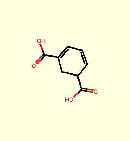 O=C(O)C1=CC=CC(C(=O)O)C1